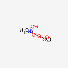 CN1C[C@H](OCCOCCO[C@@H]2CCCCO2)C[C@@H]1CO